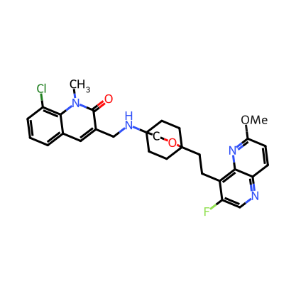 COc1ccc2ncc(F)c(CCC34CCC(NCc5cc6cccc(Cl)c6n(C)c5=O)(CC3)CO4)c2n1